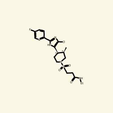 CCNC(=O)CCS(=O)(=O)N1CC[C@@H](c2[nH]c(-c3ccc(F)cn3)nc2Cl)[C@@H](C)C1